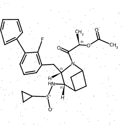 CC(=O)O[C@H](C)C(=O)N1C2CC(C2)[C@H](N[S+]([O-])C2CC2)[C@@H]1Cc1cccc(-c2ccccc2)c1F